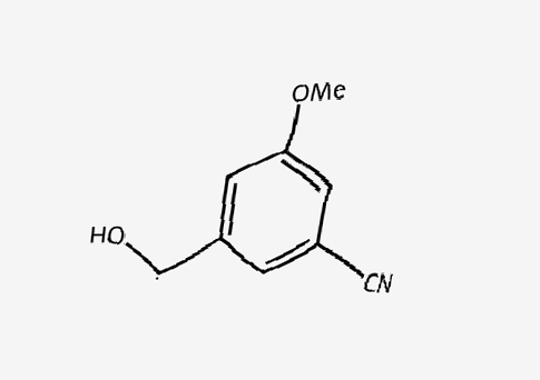 COc1cc(C#N)cc([CH]O)c1